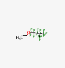 CCCOC(F)(F)C(F)(F)C(F)(F)C(F)(C(F)(F)F)C(F)(F)F